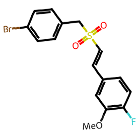 COc1cc(/C=C/S(=O)(=O)Cc2ccc(Br)cc2)ccc1F